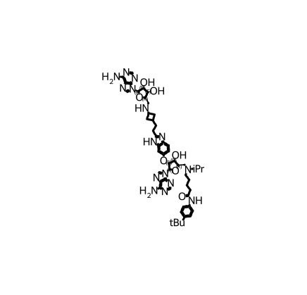 CC(C)N(CCCCC(=O)Nc1ccc(C(C)(C)C)cc1)C[C@H]1O[C@@H](n2cnc3c(N)ncnc32)[C@H](Oc2ccc3nc(CCC4CC(NC[C@H]5O[C@@H](n6cnc7c(N)ncnc76)[C@H](O)[C@@H]5O)C4)[nH]c3c2)[C@@H]1O